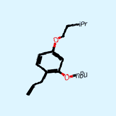 C=CCc1ccc(OCCC(C)C)cc1OCCCC